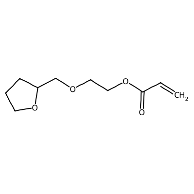 C=CC(=O)OCCOCC1CCCO1